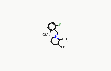 COc1cccc(F)c1CN1CCCC(C(C)C)C1C